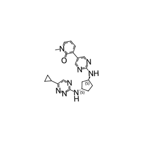 Cn1cccc(-c2cnc(N[C@H]3CC[C@H](Nc4ncc(C5CC5)nn4)C3)nc2)c1=O